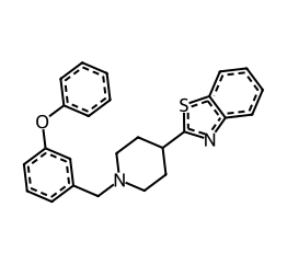 c1ccc(Oc2cccc(CN3CCC(c4nc5ccccc5s4)CC3)c2)cc1